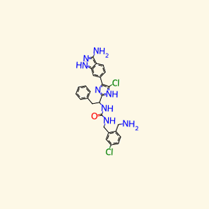 NCc1ccc(Cl)cc1CNC(=O)NC(Cc1ccccc1)c1nc(-c2ccc3c(N)n[nH]c3c2)c(Cl)[nH]1